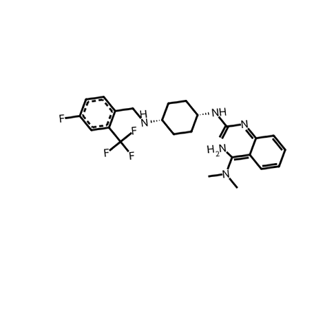 C=C(/N=C1/C=CC=C/C1=C(/N)N(C)C)N[C@H]1CC[C@@H](NCc2ccc(F)cc2C(F)(F)F)CC1